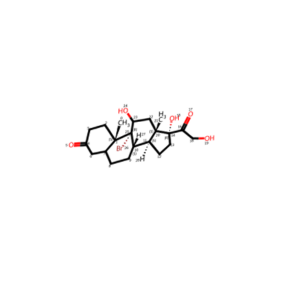 C[C@]12CCC(=O)CC1CC[C@H]1[C@@H]3CC[C@](O)(C(=O)CO)[C@@]3(C)CC(O)[C@@]12Br